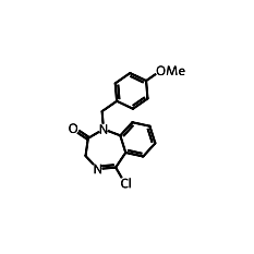 COc1ccc(CN2C(=O)CN=C(Cl)c3ccccc32)cc1